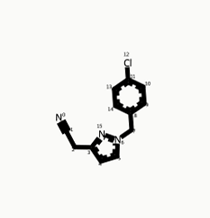 N#CCc1ccn(Cc2ccc(Cl)cc2)n1